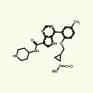 CC(C)(C)OC=O.Cc1ccc(OCC2CC2)c(-c2ncnc3c(C(=O)NC4CCNCC4)c[nH]c23)c1